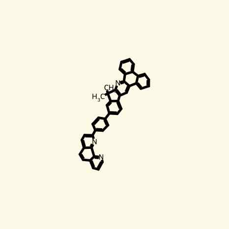 CC1(C)c2cc(-c3ccc(-c4ccc5ccc6cccnc6c5n4)cc3)ccc2-c2cc3c4ccccc4c4ccccc4c3nc21